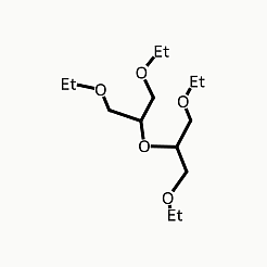 CCOCC(COCC)OC(COCC)COCC